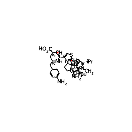 CC[C@H](C)[C@](C(N)=O)(C(=O)[C@@]1(C)CCCN1C)N(C)[C@H](C[C@@H](OC(C)=O)c1nc(C(=O)N[C@@H](Cc2ccc(N)cc2)C[C@H](C)C(=O)O)cs1)C(C)C